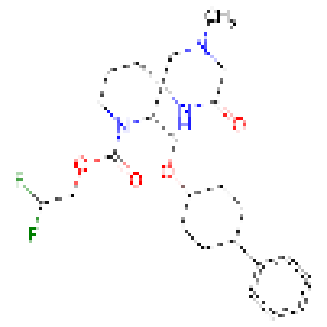 CN1CC(=O)N[C@]2(CCCN(C(=O)OCC(F)F)[C@H]2COC2CCC(c3ccccc3)CC2)C1